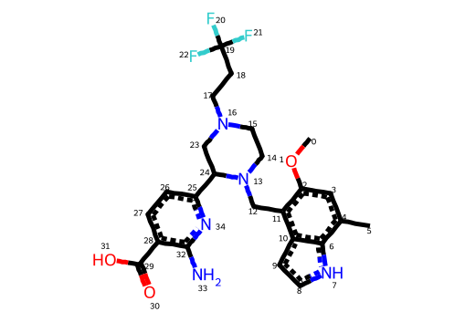 COc1cc(C)c2[nH]ccc2c1CN1CCN(CCC(F)(F)F)CC1c1ccc(C(=O)O)c(N)n1